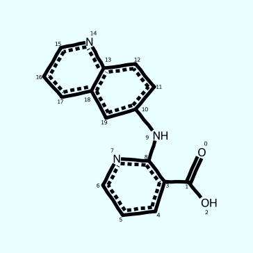 O=C(O)c1cccnc1Nc1ccc2ncccc2c1